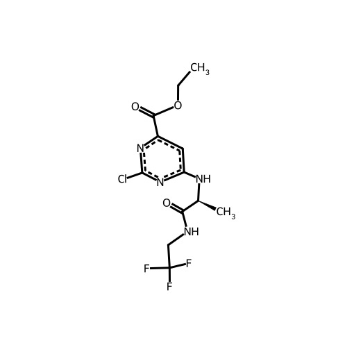 CCOC(=O)c1cc(N[C@@H](C)C(=O)NCC(F)(F)F)nc(Cl)n1